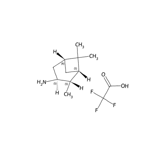 C[C@@H]1[C@@H](N)C[C@H]2C[C@@H]1C2(C)C.O=C(O)C(F)(F)F